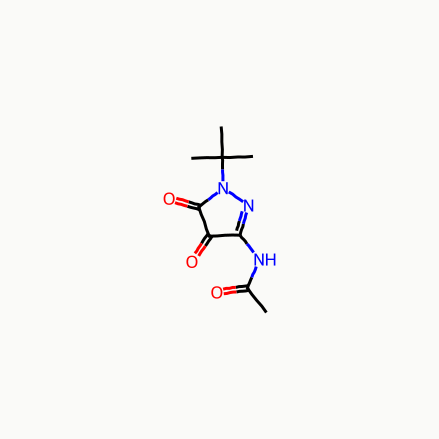 CC(=O)NC1=NN(C(C)(C)C)C(=O)C1=O